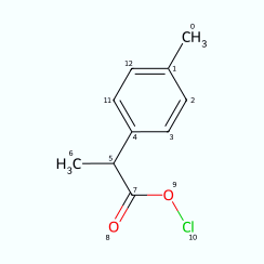 Cc1ccc(C(C)C(=O)OCl)cc1